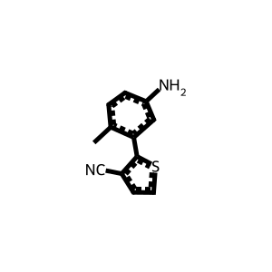 Cc1ccc(N)cc1-c1sccc1C#N